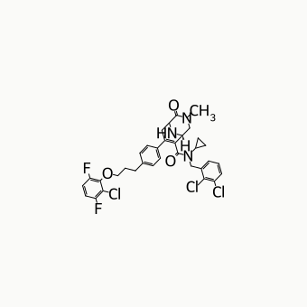 CN1C[C@H]2NC(CC(c3ccc(CCCOc4c(F)ccc(F)c4Cl)cc3)=C2C(=O)N(Cc2cccc(Cl)c2Cl)C2CC2)C1=O